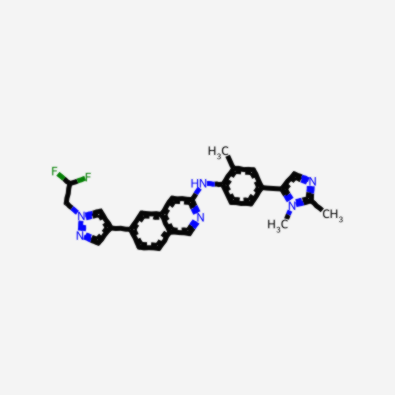 Cc1cc(-c2cnc(C)n2C)ccc1Nc1cc2cc(-c3cnn(CC(F)F)c3)ccc2cn1